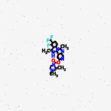 Cc1nc(N[C@H](C)c2cccc(C(F)F)c2F)c2cc(OC(=O)N3CCN(C)C[C@@H]3C)ncc2n1